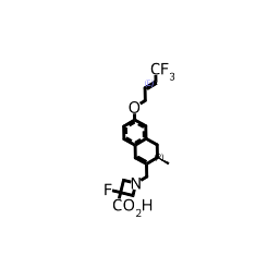 C[C@@H]1Cc2cc(OC/C=C/C(F)(F)F)ccc2C=C1CN1CC(F)(C(=O)O)C1